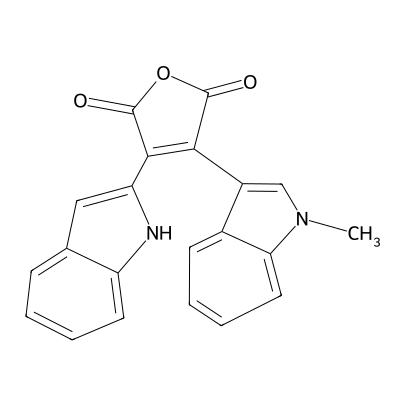 Cn1cc(C2=C(c3cc4ccccc4[nH]3)C(=O)OC2=O)c2ccccc21